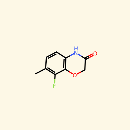 Cc1ccc2c(c1F)OCC(=O)N2